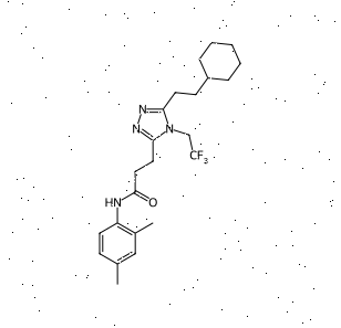 Cc1ccc(NC(=O)CCc2nnc(CCC3CCCCC3)n2CC(F)(F)F)c(C)c1